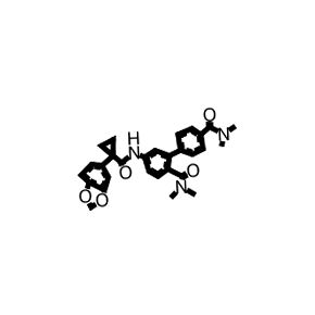 CN(C)C(=O)c1ccc(-c2cc(NC(=O)C3(c4ccc5c(c4)OCO5)CC3)ccc2C(=O)N(C)C)cc1